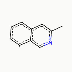 Cc1cc2ccc[c]c2cn1